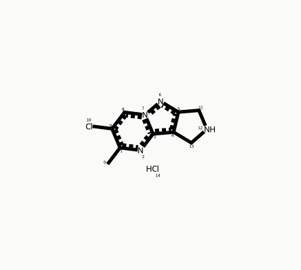 Cc1nc2c3c(nn2cc1Cl)CNC3.Cl